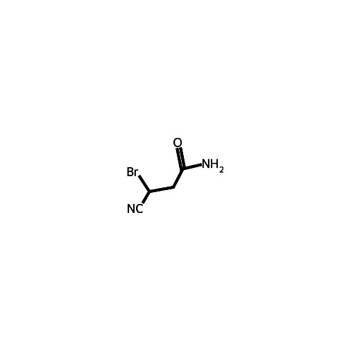 N#CC(Br)CC(N)=O